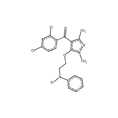 CCN(CCOc1c(C(=O)c2ccc(Cl)cc2Cl)c(C)nn1C)c1ccccc1